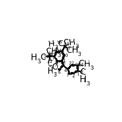 Cc1ccc(-c2coc3c(C(C)(C)C)cc(C(C)(C)C)cc23)cc1C